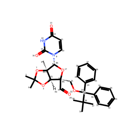 CC1(C)O[C@H]2[C@@](C)(O1)[C@H](n1ccc(=O)[nH]c1=O)O[C@]2(C=O)CO[Si](c1ccccc1)(c1ccccc1)C(C)(C)C